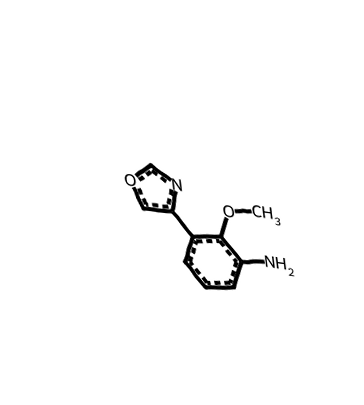 COc1c(N)cccc1-c1cocn1